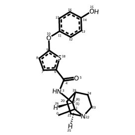 C[C@H]1[C@H](NC(=O)c2ccc(Oc3ccc(O)cc3)s2)C2CCN1CC2